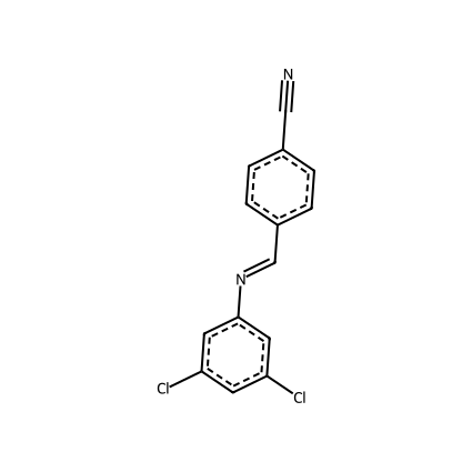 N#Cc1ccc(/C=N/c2cc(Cl)cc(Cl)c2)cc1